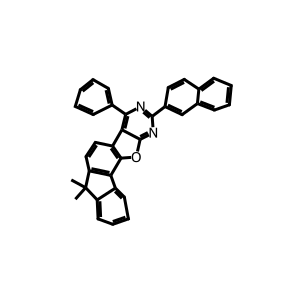 CC1(C)c2ccccc2-c2c1ccc1c2oc2nc(-c3ccc4ccccc4c3)nc(-c3ccccc3)c21